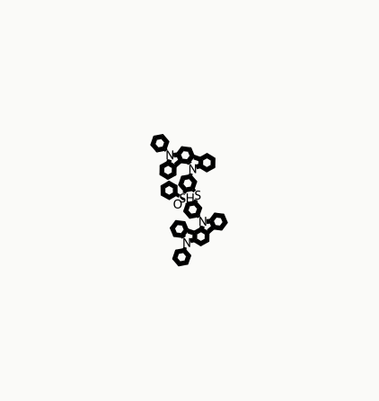 O=[SH]1(c2ccccc2)c2ccc(-n3c4ccccc4c4ccc5c(c6ccccc6n5-c5ccccc5)c43)cc2Sc2cc(-n3c4ccccc4c4ccc5c(c6ccccc6n5-c5ccccc5)c43)ccc21